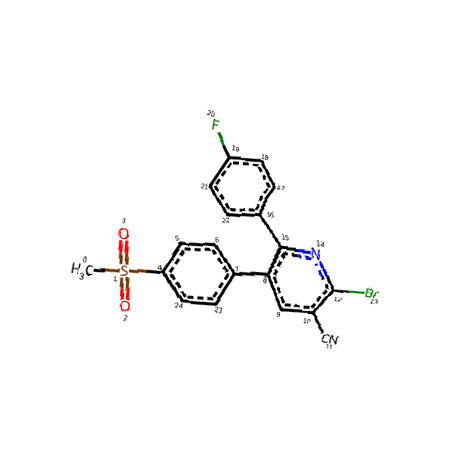 CS(=O)(=O)c1ccc(-c2cc(C#N)c(Br)nc2-c2ccc(F)cc2)cc1